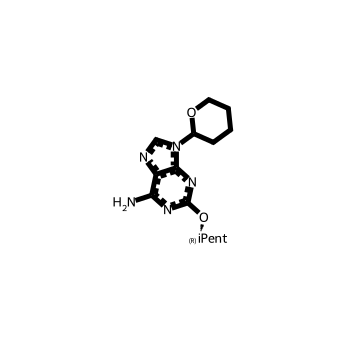 CCC[C@@H](C)Oc1nc(N)c2ncn(C3CCCCO3)c2n1